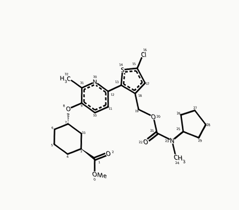 COC(=O)[C@H]1CCC[C@H](Oc2ccc(-c3sc(Cl)cc3COC(=O)N(C)C3CCCC3)nc2C)C1